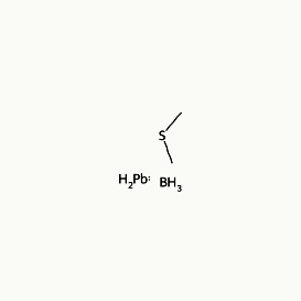 B.CSC.[PbH2]